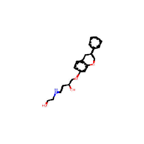 OCCNCCC(O)COc1ccc2c(c1)OCC(c1ccccc1)C2